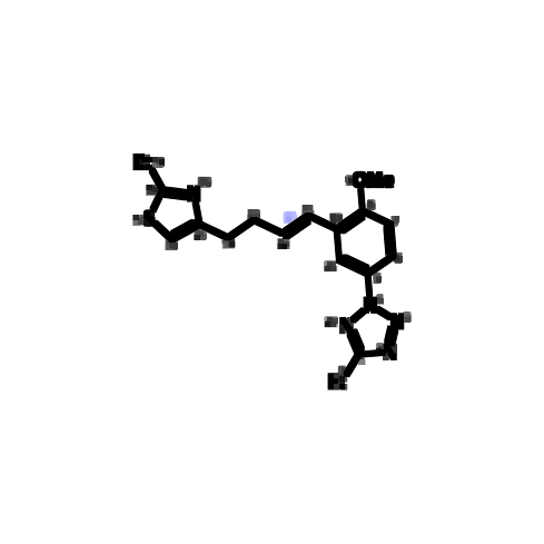 CCc1nnn(-c2ccc(OC)c(/C=C/CCc3csc(CC)n3)c2)n1